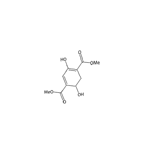 COC(=O)C1=CC(O)=C(C(=O)OC)CC1O